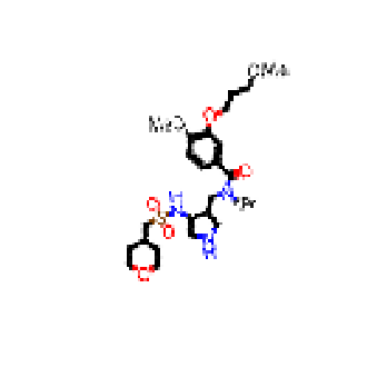 COCCCOc1cc(C(=O)N(CC2CNCC2NS(=O)(=O)CC2CCOCC2)C(C)C)ccc1OC